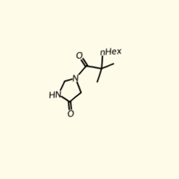 CCCCCCC(C)(C)C(=O)N1CNC(=O)C1